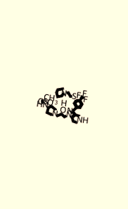 CS(=O)(=O)NC1CCN(CC(O)Cn2nc(-c3ccc(C(F)(F)F)c(SCCN4CCCCC4)c3)c3c2CCNC3)CC1